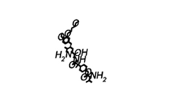 COCCCOc1cc(C[C@@H](C[C@H](N)[C@@H](O)CNC(=O)C(C)(C)C2CCC(OC(=O)[C@@H](N)C(C)C)CC2)C(C)C)ccc1OC